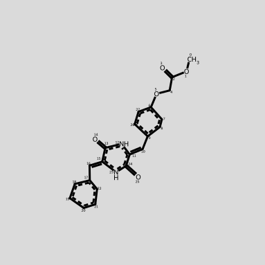 COC(=O)COc1ccc(C=c2[nH]c(=O)c(=Cc3ccccc3)[nH]c2=O)cc1